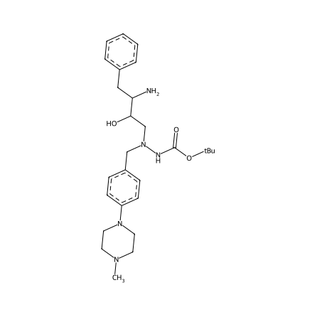 CN1CCN(c2ccc(CN(CC(O)C(N)Cc3ccccc3)NC(=O)OC(C)(C)C)cc2)CC1